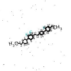 CCCC1CCC(c2ccc(CCc3ccc(-c4ccc(CC)cc4F)cc3)c(F)c2F)CC1